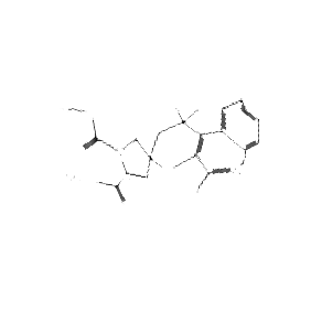 COC(=O)[C@@H]1CC2(CN1C(=O)OC(C)(C)C)CC(F)(F)c1c(c(C)nc3ccccc13)O2